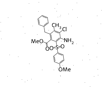 COC(=O)c1c(Cc2ccccc2)c(C)c(Cl)c(N)c1S(=O)(=O)c1ccc(OC)cc1